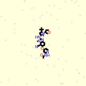 CC(=O)Nc1cc(Oc2ccc3nc(Nc4cc(C(C)(C)C)n([C@@H]5CCOC5)n4)n(C)c3c2C#N)ccn1